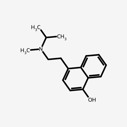 CC(C)N(C)CCc1ccc(O)c2ccccc12